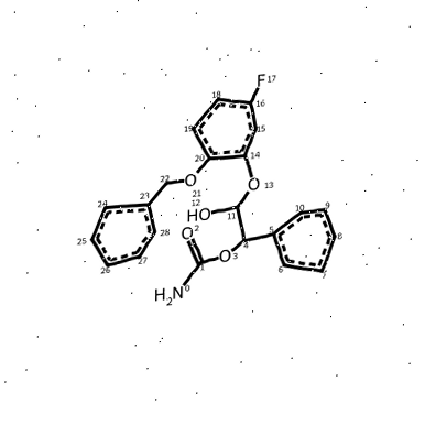 NC(=O)OC(c1ccccc1)C(O)Oc1cc(F)ccc1OCc1ccccc1